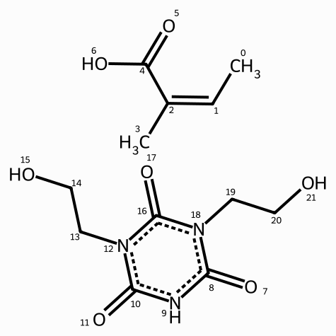 CC=C(C)C(=O)O.O=c1[nH]c(=O)n(CCO)c(=O)n1CCO